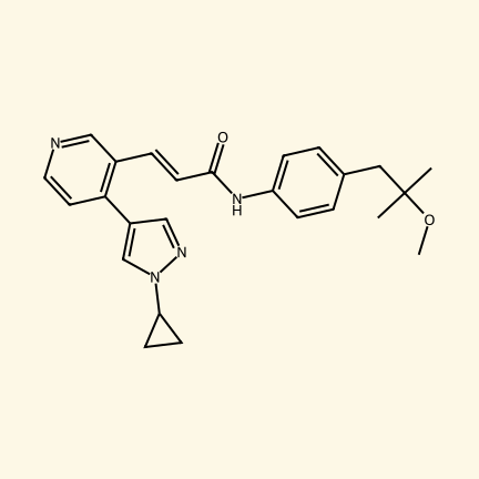 COC(C)(C)Cc1ccc(NC(=O)C=Cc2cnccc2-c2cnn(C3CC3)c2)cc1